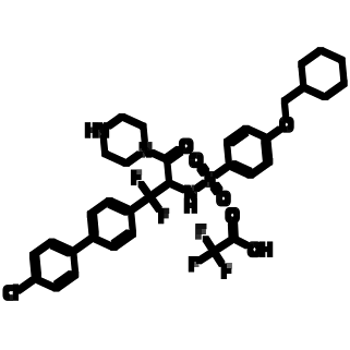 O=C(C(NS(=O)(=O)c1ccc(OCC2CCCCC2)cc1)C(F)(F)c1ccc(-c2ccc(Cl)cc2)cc1)N1CCNCC1.O=C(O)C(F)(F)F